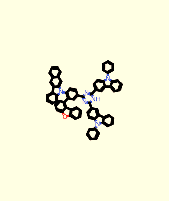 c1ccc(-n2c3ccccc3c3cc(C4=NC(c5ccc(-n6c7ccccc7c7cc8ccccc8cc76)c(-c6cccc7oc8ccccc8c67)c5)=NC(c5ccc6c(c5)c5ccccc5n6-c5ccccc5)N4)ccc32)cc1